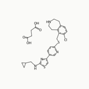 Clc1ccc2c(c1CSc1ccc(-c3csc(NCC4CC4)n3)cn1)CCNCC2.O=C(O)CCC(=O)O